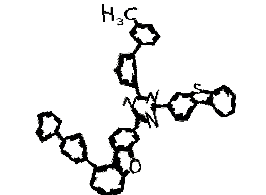 Cc1cccc(-c2cccc(-c3nc(-c4ccc5c(c4)oc4cccc(-c6ccc(-c7ccccc7)cc6)c45)nc(-c4ccc5c(c4)sc4ccccc45)n3)c2)c1